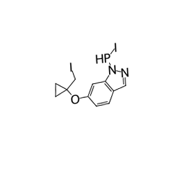 ICC1(Oc2ccc3cnn(PI)c3c2)CC1